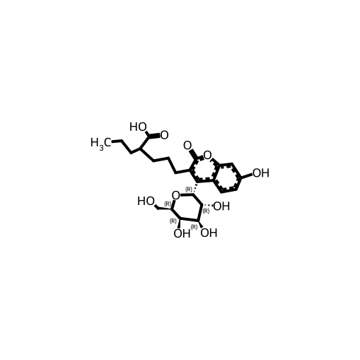 CCCC(CCCc1c([C@H]2O[C@H](CO)[C@H](O)[C@H](O)[C@H]2O)c2ccc(O)cc2oc1=O)C(=O)O